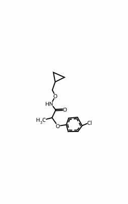 CC(Oc1ccc(Cl)cc1)C(=O)NOCC1CC1